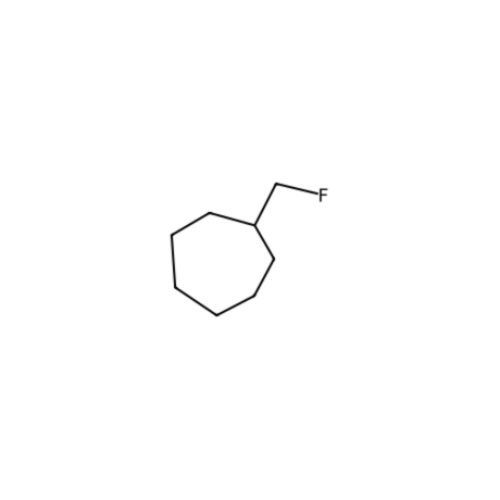 FCC1CCCCCC1